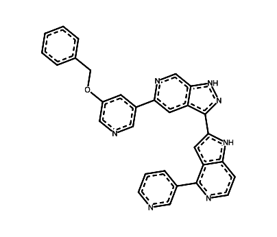 c1ccc(COc2cncc(-c3cc4c(-c5cc6c(-c7cccnc7)nccc6[nH]5)n[nH]c4cn3)c2)cc1